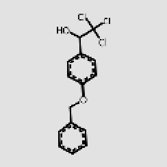 OC(c1ccc(OCc2ccccc2)cc1)C(Cl)(Cl)Cl